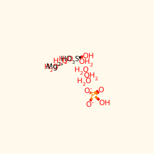 O.O.O.O.O.O.O.O=P([O-])([O-])O.O=S(=O)(O)O.[Mg+2]